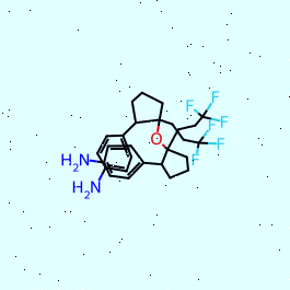 Nc1ccc(C2CCCC2(CCC(F)(F)F)OC2(CCC(F)(F)F)CCCC2c2ccc(N)cc2)cc1